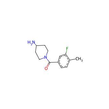 Cc1ccc(C(=O)N2CCC(N)CC2)cc1F